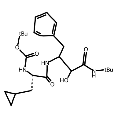 CC(C)(C)NC(=O)C(O)C(Cc1ccccc1)NC(=O)[C@H](CC1CC1)NC(=O)OC(C)(C)C